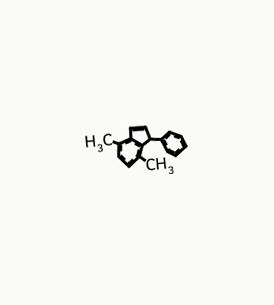 Cc1ccc(C)c2c1C=CC2c1ccccc1